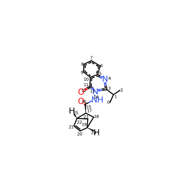 CC(C)c1nc2ccccc2c(=O)n1NC(=O)[C@H]1C[C@@H]2C=C[C@H]1C2